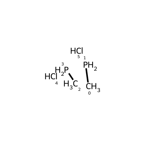 CP.CP.Cl.Cl